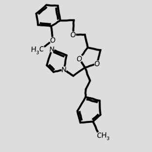 COc1ccccc1COCC1COC(CCc2ccc(C)cc2)(Cn2ccnc2)O1